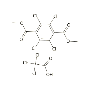 COC(=O)c1c(Cl)c(Cl)c(C(=O)OC)c(Cl)c1Cl.O=C(O)C(Cl)(Cl)Cl